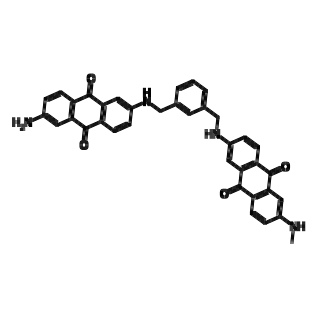 CNc1ccc2c(c1)C(=O)c1ccc(NCc3cccc(CNc4ccc5c(c4)C(=O)c4ccc(N)cc4C5=O)c3)cc1C2=O